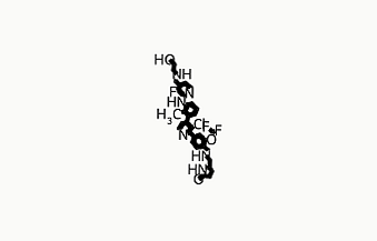 Cc1c(Nc2nccc(CNCCO)c2F)cccc1-c1ccnc(-c2ccc(CNCC3CCC(=O)N3)c(OC(F)F)c2)c1Cl